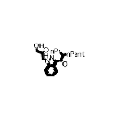 CCCCCC(CCC)C(=O)c1nn(CC(O)CO)c2ccccc12